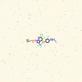 C[Si](C)(C)CCOCn1cc(C(F)(F)F)c2c(Oc3ccc(N)c(F)c3F)cc(Cl)nc21